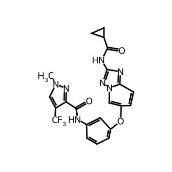 Cn1cc(C(F)(F)F)c(C(=O)Nc2cccc(Oc3ccc4nc(NC(=O)C5CC5)nn4c3)c2)n1